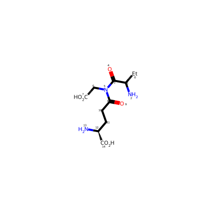 CCC(N)C(=O)N(CC(=O)O)C(=O)CC[C@H](N)C(=O)O